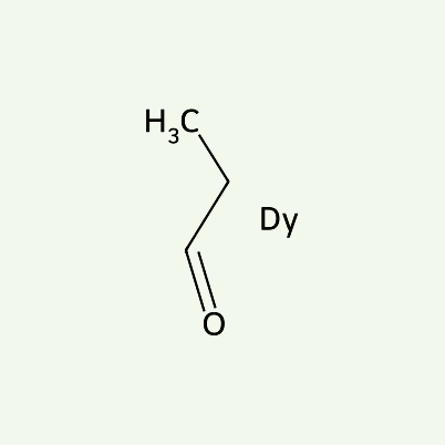 CCC=O.[Dy]